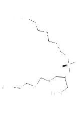 CCCCCCCCCCCCCCCCOP(=O)(O)OC(CN)CCCCCCCCCCCCCCCC